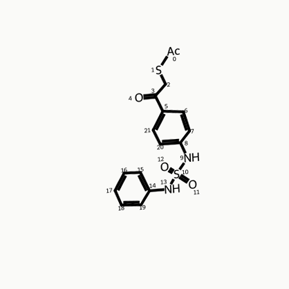 CC(=O)SCC(=O)c1ccc(NS(=O)(=O)Nc2ccccc2)cc1